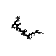 CC(=O)SCC(CC(C)C)C(=O)NCCC(=O)N[C@@H](CCCNC(=N)N)C(=O)O